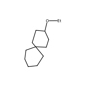 CCOC1CCC2(CCCCC2)CC1